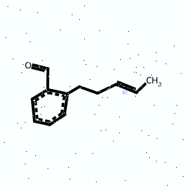 C/C=C/CCc1ccccc1C=O